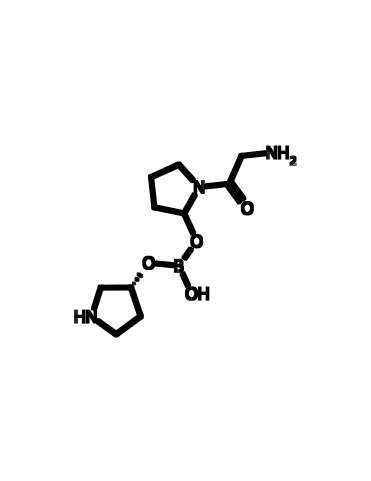 NCC(=O)N1CCCC1OB(O)O[C@@H]1CCNC1